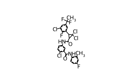 Cc1cc(F)ccc1NC(=O)c1cc(NC(=O)C2C(c3cc(C(C)(F)F)cc(Cl)c3F)C2(Cl)Cl)ccc1Cl